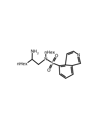 CCCCCCC(N)CN(CCCCCC)S(=O)(=O)c1cccc2cnccc12